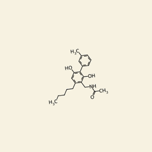 CCCCCc1cc(O)c(-c2cccc(C)c2)c(O)c1CNC(C)=O